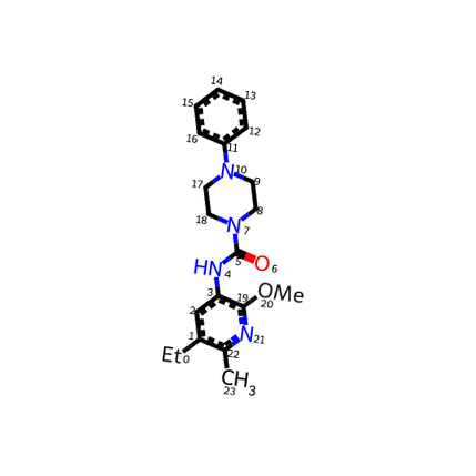 CCc1cc(NC(=O)N2CCN(c3ccccc3)CC2)c(OC)nc1C